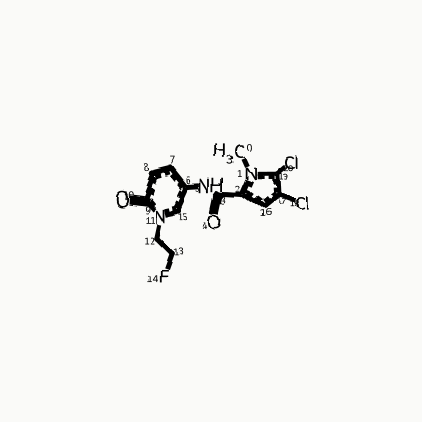 Cn1c(C(=O)Nc2ccc(=O)n(CCF)c2)cc(Cl)c1Cl